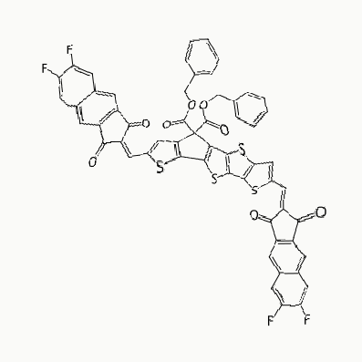 O=C1C(=Cc2cc3c(s2)-c2sc4c(sc5cc(C=C6C(=O)c7cc8cc(F)c(F)cc8cc7C6=O)sc54)c2C3(C(=O)OCc2ccccc2)C(=O)OCc2ccccc2)C(=O)c2cc3cc(F)c(F)cc3cc21